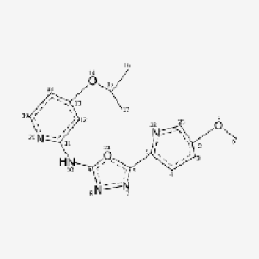 COc1ccc(-c2nnc(Nc3cc(OC(C)C)ccn3)o2)nc1